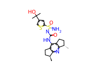 C[C@H]1CCc2c1nc1c(c2NC(=O)N=[S@@](N)(=O)c2cc(C(C)(C)O)cs2)CC[C@@H]1C